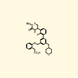 CC(C)(C)OC(=O)NC(CF)c1cccc(-c2cc(COc3ccccc3CC(=O)O)cc(CN3CCOCC3)c2)c1F